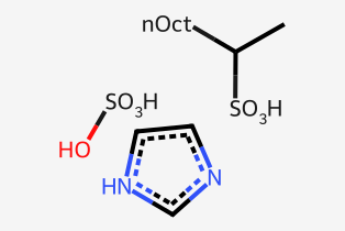 CCCCCCCCC(C)S(=O)(=O)O.O=S(=O)(O)O.c1c[nH]cn1